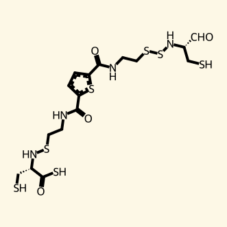 O=C[C@H](CS)NSSCCNC(=O)c1ccc(C(=O)NCCSN[C@@H](CS)C(=O)S)s1